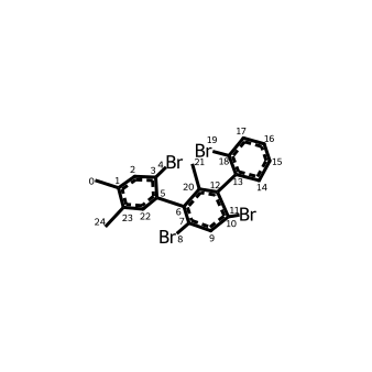 Cc1cc(Br)c(-c2c(Br)cc(Br)c(-c3ccccc3Br)c2C)cc1C